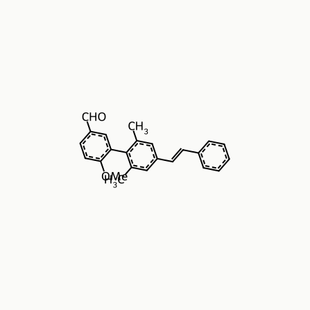 COc1ccc(C=O)cc1-c1c(C)cc(/C=C/c2ccccc2)cc1C